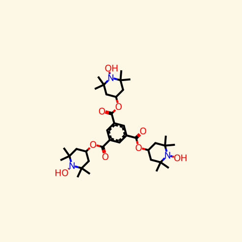 CC1(C)CC(OC(=O)c2cc(C(=O)OC3CC(C)(C)N(O)C(C)(C)C3)cc(C(=O)OC3CC(C)(C)N(O)C(C)(C)C3)c2)CC(C)(C)N1O